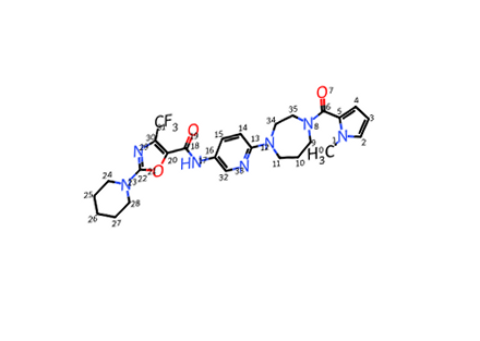 Cn1cccc1C(=O)N1CCCN(c2ccc(NC(=O)c3oc(N4CCCCC4)nc3C(F)(F)F)cn2)CC1